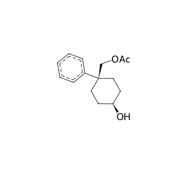 CC(=O)OC[C@]1(c2ccccc2)CC[C@H](O)CC1